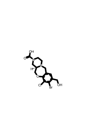 O=C(O)N1CCN2Cc3cc(CO)c(Br)c(Cl)c3OC[C@H]2C1